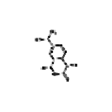 CC(C)c1ccc2c(c1)C(=O)NC(=O)C2=O